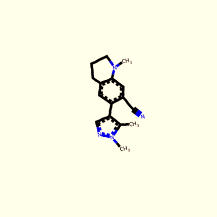 Cc1c(-c2cc3c(cc2C#N)N(C)CCC3)cnn1C